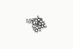 CCN1Cc2cccc([C@H](Nc3cc(Cl)c4ncc(C#N)c(Nc5ccc(F)c(Cl)c5)c4c3)C3=CN(C4CCN(C(C)(C)C)CC4)NN3)c2C1